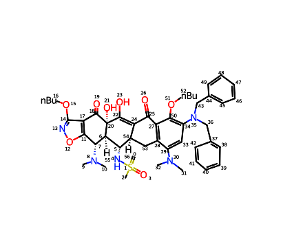 C=S(C)(=O)N[C@@H]1[C@H]2[C@H](N(C)C)c3onc(OCCCC)c3C(=O)[C@@]2(O)C(O)=C2C(=O)c3c(c(N(C)C)cc(N(Cc4ccccc4)Cc4ccccc4)c3OCCCC)C[C@H]21